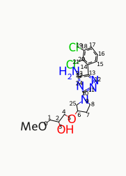 COCC(O)COC1CCN(c2nnc(-c3cccc(Cl)c3Cl)c(N)n2)C1